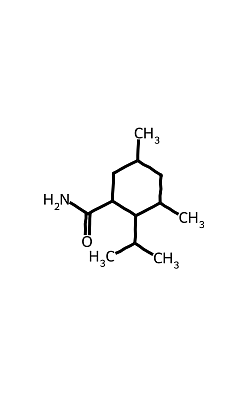 CC1CC(C)C(C(C)C)C(C(N)=O)C1